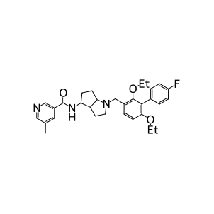 CCOc1ccc(CN2CCC3C(NC(=O)c4cncc(C)c4)CCC32)c(OCC)c1-c1ccc(F)cc1